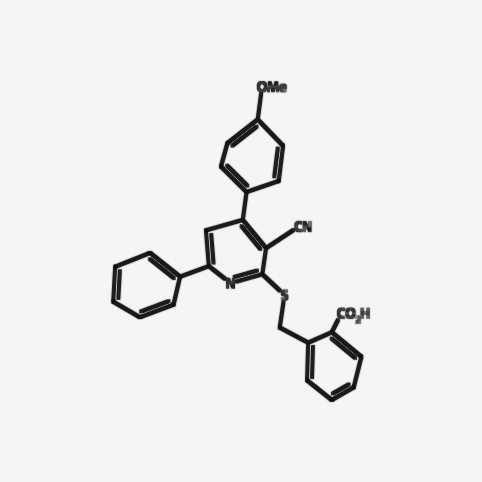 COc1ccc(-c2cc(-c3ccccc3)nc(SCc3ccccc3C(=O)O)c2C#N)cc1